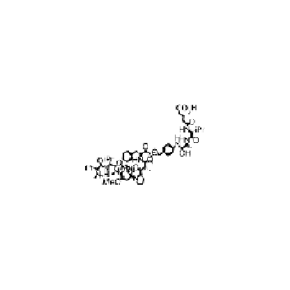 CC[C@H](C)[C@@H]([C@@H](CC(=O)N1CCC[C@H]1[C@H](OC)[C@@H](C)C(=O)N[C@@H](Cc1ccccc1)C(=O)NOCc1ccc(NC(O)[C@@H](C)NC(=O)[C@H](NC(=O)CCCC(=O)O)C(C)C)cc1)OC)N(C)C(=O)[C@@H](NC(=O)[C@H](C(C)C)N(C)C)C(C)C